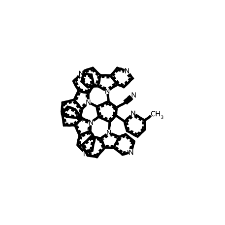 Cc1cccc(-c2c(C#N)c(-n3c4ccccc4c4cnccc43)c(-n3c4ccccc4c4cnccc43)c(-n3c4ccccc4c4cnccc43)c2-n2c3ccccc3c3cnccc32)n1